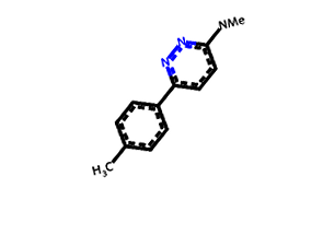 CNc1ccc(-c2ccc(C)cc2)nn1